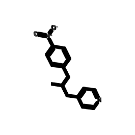 CC(Cc1ccncc1)Cc1ccc([N+](=O)[O-])cc1